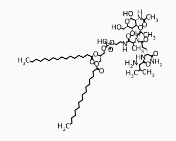 CCCCCCCCCCCCCCCC(=O)OC[C@H](COP(=O)(O)OCCNC(=O)[C@H](C)N(CC(C)O[C@H]1[C@H](O)[C@@H](CO)O[C@H](O)[C@@H]1NC(C)=O)C(=O)CC[C@@H](NC(=O)[C@@H](N)C(C)C)C(N)=O)OC(=O)CCCCCCCCCCCCCCC